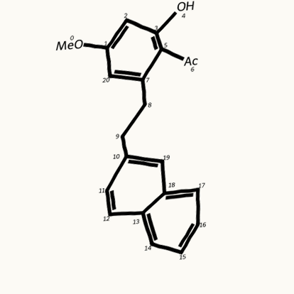 COc1cc(O)c(C(C)=O)c(CCc2ccc3ccccc3c2)c1